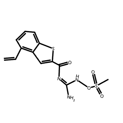 C=Cc1cccc2sc(C(=O)N=C(N)NOS(C)(=O)=O)cc12